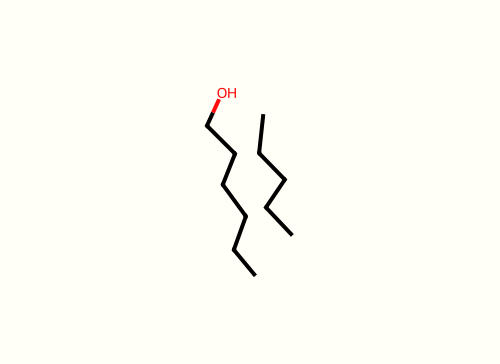 CCCCC.CCCCCCO